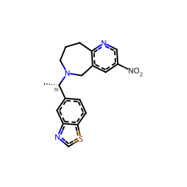 C[C@@H](c1ccc2scnc2c1)N1CCCc2ncc([N+](=O)[O-])cc2C1